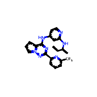 C=CC(=C)Nc1cc(Nc2nc(-c3cccc(C(F)(F)F)n3)nn3cccc23)ccn1